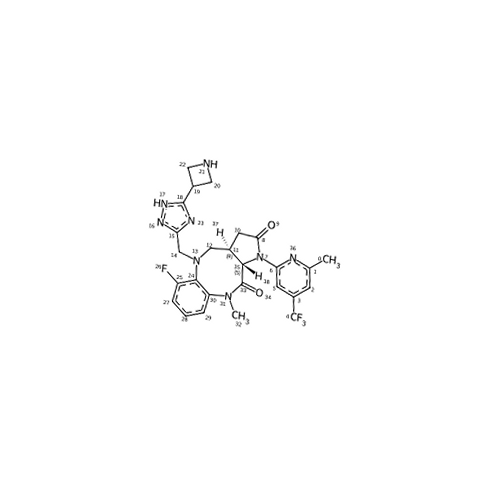 Cc1cc(C(F)(F)F)cc(N2C(=O)C[C@@H]3CN(Cc4n[nH]c(C5CNC5)n4)c4c(F)cccc4N(C)C(=O)[C@H]32)n1